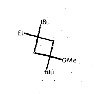 CCC1(C(C)(C)C)CC(OC)(C(C)(C)C)C1